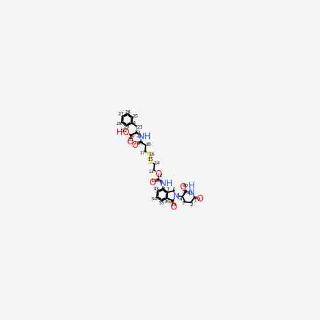 O=C1CCC(N2Cc3c(NC(=O)OCCSSCCC(=O)N[C@@H](Cc4ccccc4)C(=O)O)cccc3C2=O)C(=O)N1